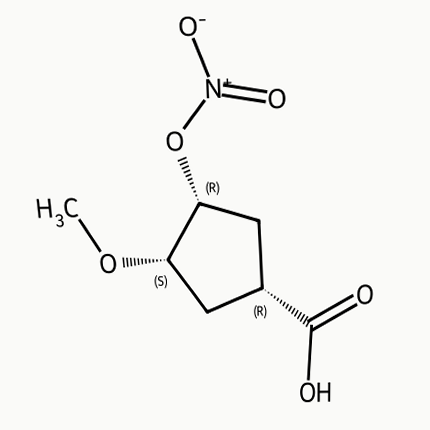 CO[C@H]1C[C@@H](C(=O)O)C[C@H]1O[N+](=O)[O-]